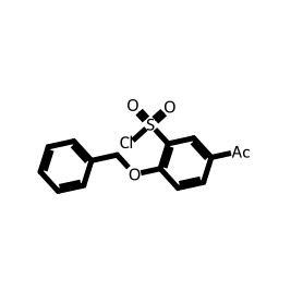 CC(=O)c1ccc(OCc2ccccc2)c(S(=O)(=O)Cl)c1